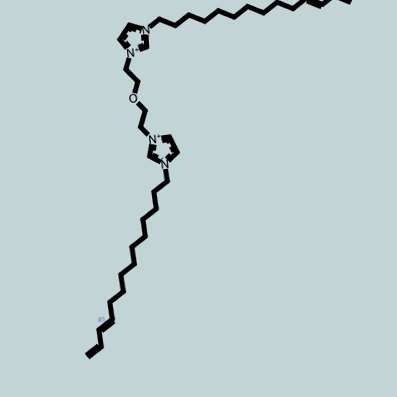 C=C/C=C/CCCCCCCCCCn1cc[n+](CCOCC[n+]2ccn(CCCCCCCCCC/C=C/C=C)c2)c1